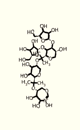 CC(C)(O[C@@H]1COC=[N+](O)C(O)C1O)[C@@H]1OC[C@@H](OC(C)(C)[C@@H]2OC[C@@H](O)C(O[C@@H]3O[C@@H](CO)C(O)C3O)C2O[C@@H]2O[C@@H](CO)C(O)C2O)C(O)C1O